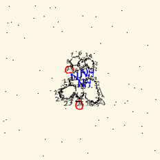 N=C1NC(c2ccccc2)(c2ccccc2)C(=O)N1Cc1cccc(C(=O)C2CCCCCCCCC2)c1